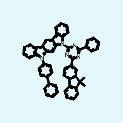 CC1(C)c2ccccc2-c2ccc(-c3nc(-c4ccccc4)nc(-n4c5ccccc5c5cc6c7ccccc7n(-c7ccc(-c8ccccc8)cc7)c6cc54)n3)cc21